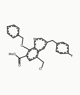 COC(=O)c1cc(CCl)c2cc(Cc3ccc(F)cc3)cnc2c1OCc1ccccc1